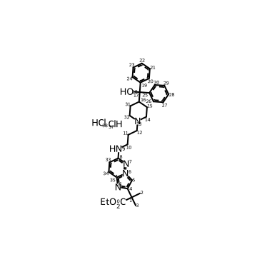 CCOC(=O)C(C)(C)c1cn2nc(NCCCN3CCC(C(O)(c4ccccc4)c4ccccc4)CC3)ccc2n1.Cl.Cl